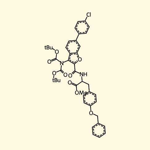 COC(=O)C(Cc1ccc(OCc2ccccc2)cc1)NC(=O)c1oc2cc(-c3ccc(Cl)cc3)ccc2c1N(C(=O)OC(C)(C)C)C(=O)OC(C)(C)C